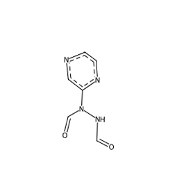 O=CNN(C=O)c1cnccn1